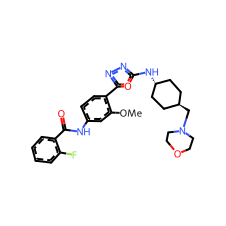 COc1cc(NC(=O)c2ccccc2F)ccc1-c1nnc(N[C@H]2CC[C@H](CN3CCOCC3)CC2)o1